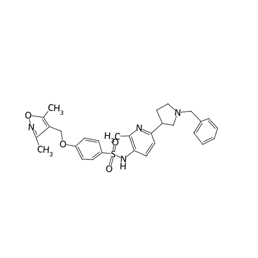 Cc1nc(C2CCN(Cc3ccccc3)C2)ccc1NS(=O)(=O)c1ccc(OCc2c(C)noc2C)cc1